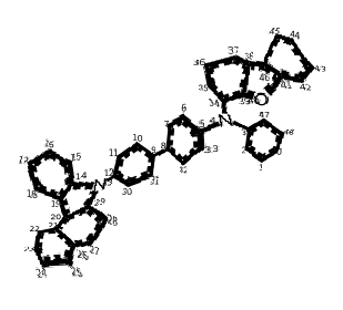 c1ccc(N(c2ccc(-c3ccc(-n4c5ccccc5c5c6ccccc6ccc54)cc3)cc2)c2cccc3c2oc2ccccc23)cc1